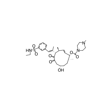 CCNS(=O)(=O)c1cccc(/C=C(\C)[C@H]2C(=O)C(=O)C[C@@H](O)CC[C@@H](C)[C@@H](OC(=O)N3CCN(C)CC3)/C=C/[C@@H]2C)c1